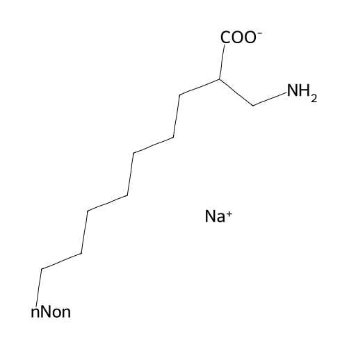 CCCCCCCCCCCCCCCCC(CN)C(=O)[O-].[Na+]